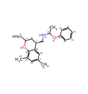 CCCCCCC1C[C@@H](CNC(C)Oc2ccccc2)c2cc(C)cc(C)c2O1